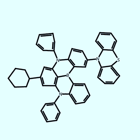 c1ccc(N2c3ccccc3B3c4cc(N5c6ccccc6Sc6ccccc65)ccc4N(c4ccccc4)c4cc(C5CCCCC5)cc2c43)cc1